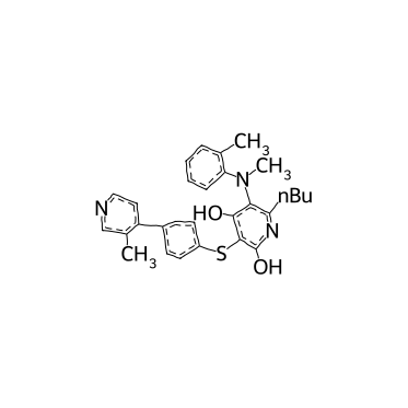 CCCCc1nc(O)c(Sc2ccc(-c3ccncc3C)cc2)c(O)c1N(C)c1ccccc1C